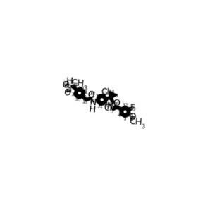 COc1ccc(-c2cnc(C3(c4c(Cl)cc(NC(=O)Cc5ccc(C(C)[SH](=O)=O)cc5)cc4Cl)CC3)o2)cc1F